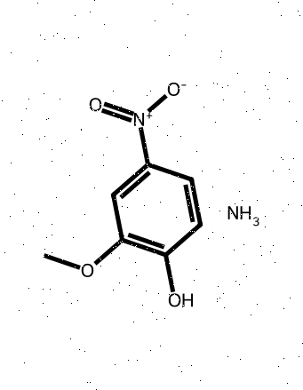 COc1cc([N+](=O)[O-])ccc1O.N